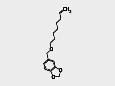 C=CCCCCCCOCc1ccc2c(c1)OCO2